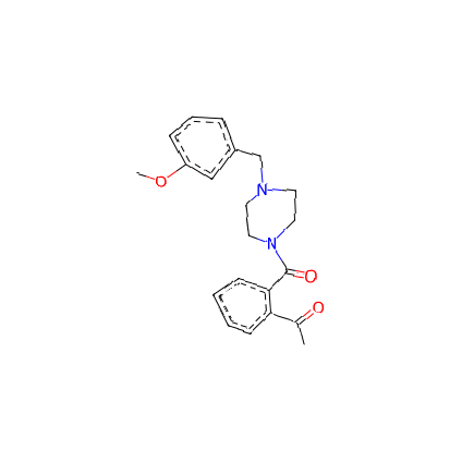 COc1cccc(CN2CCN(C(=O)c3ccccc3C(C)=O)CC2)c1